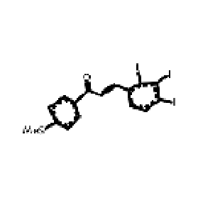 CSc1ccc(C(=O)C=Cc2ccc(I)c(I)c2I)cc1